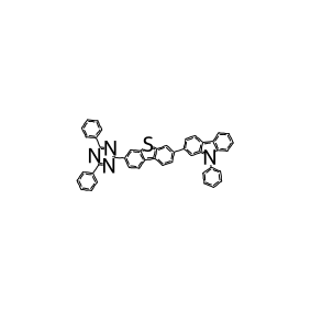 c1ccc(-c2nc(-c3ccccc3)nc(-c3ccc4c(c3)sc3cc(-c5ccc6c7ccccc7n(-c7ccccc7)c6c5)ccc34)n2)cc1